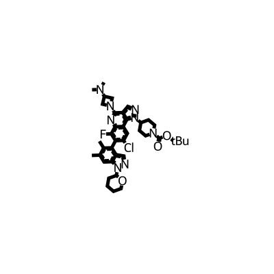 Cc1cc2c(cnn2C2CCCCO2)c(-c2c(Cl)cc3c(nc(N4CC(N(C)C)C4)c4cnn(C5CCN(C(=O)OC(C)(C)C)CC5)c43)c2F)c1C